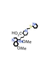 CON[C@H](CC[C@@H]1CCN(CCSc2ccccn2)C[C@@H]1C(=O)O)c1ccnc2ccc(OC)cc12